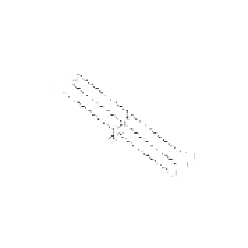 CCCCCCCCCCCCCCCCCCCN(CCCCCCCCCCCCCCCCCCC)C(=S)[S-].CCCCCCCCCCCCCCCCCCCN(CCCCCCCCCCCCCCCCCCC)C(=S)[S-].CCCCCCCCCCCCCCCCCCCN(CCCCCCCCCCCCCCCCCCC)C(=S)[S-].[Sb+3]